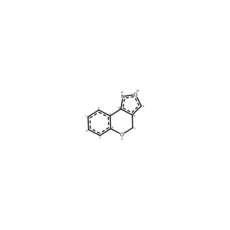 c1ccc2c(c1)OCc1conc1-2